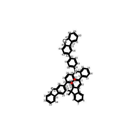 CC1(C)c2ccccc2-c2cc(-c3ccccc3N(c3ccc(-c4ccc5c(c4)sc4ccccc45)cc3)c3ccc(-c4ccc5oc6ccccc6c5c4)cc3)ccc21